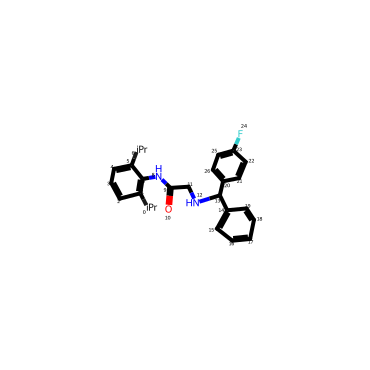 CC(C)c1cccc(C(C)C)c1NC(=O)CNC(c1ccccc1)c1ccc(F)cc1